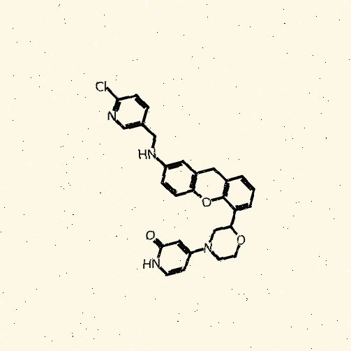 O=c1cc(N2CCOC(c3cccc4c3Oc3ccc(NCc5ccc(Cl)nc5)cc3C4)C2)cc[nH]1